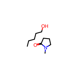 CCCCCO.CN1CCCC1=O